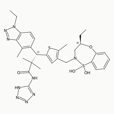 CC[C@@H]1CN(Cc2cc([C@@H](c3ccc4c(nnn4CC)c3C)C(C)(C)C(=O)Nc3nnn[nH]3)sc2C)S(O)(O)c2ccccc2O1